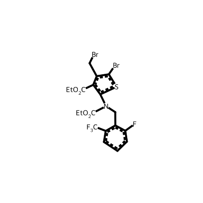 CCOC(=O)c1c(N(Cc2c(F)cccc2C(F)(F)F)C(=O)OCC)sc(Br)c1CBr